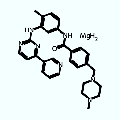 Cc1ccc(NC(=O)c2ccc(CN3CCN(C)CC3)cc2)cc1Nc1nccc(-c2cccnc2)n1.[MgH2]